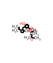 CC=C(C)C1CCC(C)=C1Cc1cc(C(=O)O[C@@H](CC[C@]2(C)OC2C)C(C)(C)Br)ccc1O